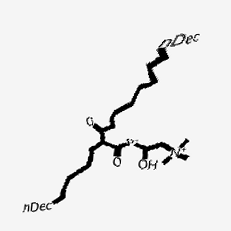 CCCCCCCCCCCCCCCCCC(=O)C(CCCCCCCCCCCCCC)C(=O)[P-]C(O)C[N+](C)(C)C